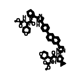 COC(=O)N[C@H](C(=O)N1C2CCC(C2)C1c1ncc(-c2ccc(-c3ccc4cc(-c5cnc([C@@H]6CC7(CC7)CN6C(=O)[C@@H](NC(=O)OC)C6CCOCC6)[nH]5)ccc4c3)cc2)[nH]1)C1CCOCC1